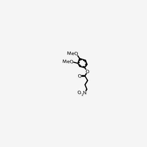 COc1ccc(OC(=O)CCC[N+](=O)[O-])cc1OC